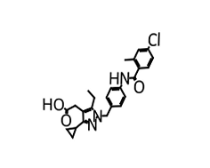 CCc1c(CC(=O)O)c(C2CC2)nn1Cc1ccc(NC(=O)c2ccc(Cl)cc2C)cc1